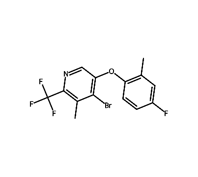 Cc1cc(F)ccc1Oc1cnc(C(F)(F)F)c(C)c1Br